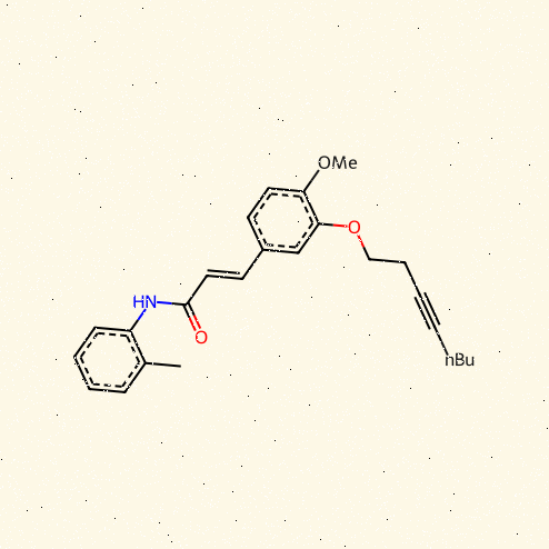 CCCCC#CCCOc1cc(/C=C/C(=O)Nc2ccccc2C)ccc1OC